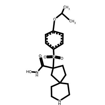 CC(C)Oc1ccc(S(=O)(=O)C2(C(=O)NO)CCC3(CCNCC3)C2)cc1